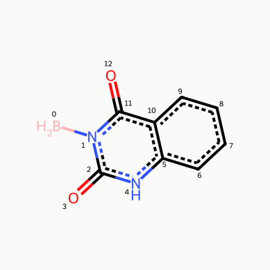 Bn1c(=O)[nH]c2ccccc2c1=O